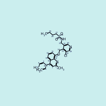 C=CN(/C=C\C)c1cc(C)nc2c(OCc3c(Cl)cncc3CNS(=O)(=O)CCCC)cccc12